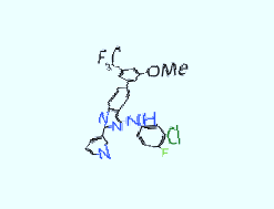 COc1cc(-c2ccc3nc(-c4cccnc4)nc(Nc4ccc(F)c(Cl)c4)c3c2)cc(C(F)(F)F)c1